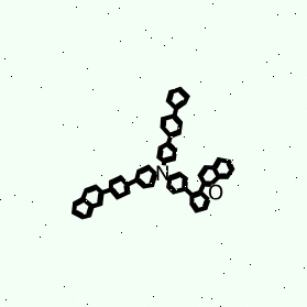 c1ccc(-c2ccc(-c3ccc(N(c4ccc(-c5ccc(-c6ccc7ccccc7c6)cc5)cc4)c4ccc(-c5cccc6oc7c8ccccc8ccc7c56)cc4)cc3)cc2)cc1